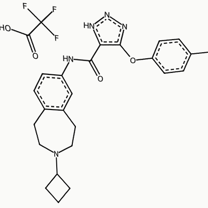 O=C(Nc1ccc2c(c1)CCN(C1CCC1)CC2)c1[nH]nnc1Oc1ccc(F)cc1.O=C(O)C(F)(F)F